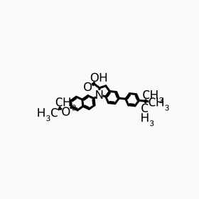 CC(C)Oc1ccc2cc(N3c4ccc(-c5ccc(C(C)(C)C)cc5)cc4CC3C(=O)O)ccc2c1